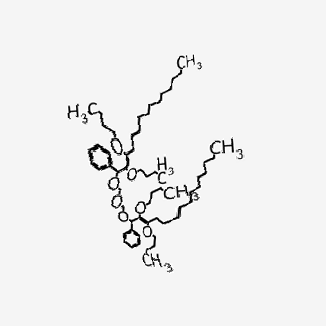 CCCCCCCCCCCCC(OCCCC)=C(OCCCC)C(OCOCOC(C(OCCCC)=C(CCCCCCCCCCCC)OCCCC)c1ccccc1)c1ccccc1